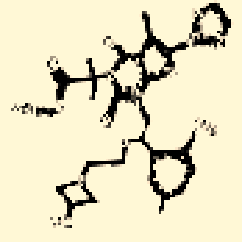 CCCCOC(=O)C(C)(C)n1c(=O)c2c(C)c(-n3nccn3)sc2n(C[C@H](OCCN2CC(C#N)C2)c2cc(F)ccc2OC)c1=O